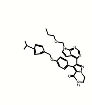 CCCOCn1ccc2c(-c3nn4c(c3-c3ccc(OCc5ccc(C(C)C)cc5)cc3)C(=O)NCC4)ncnc21